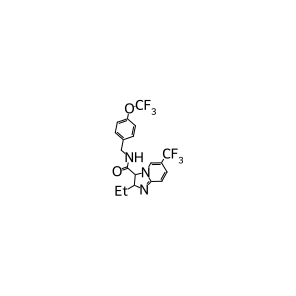 CCC1N=C2C=CC(C(F)(F)F)=CN2C1C(=O)NCc1ccc(OC(F)(F)F)cc1